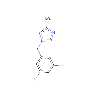 O=[N+]([O-])c1cn(Cc2cc(F)cc(F)c2)cn1